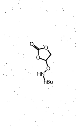 CCCCNOC1COC(=O)O1